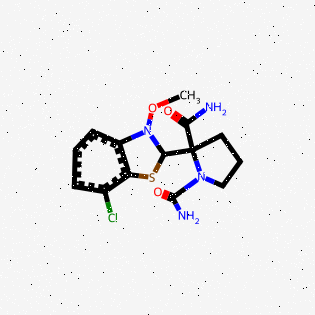 CON1c2cccc(Cl)c2SC1C1(C(N)=O)CCCN1C(N)=O